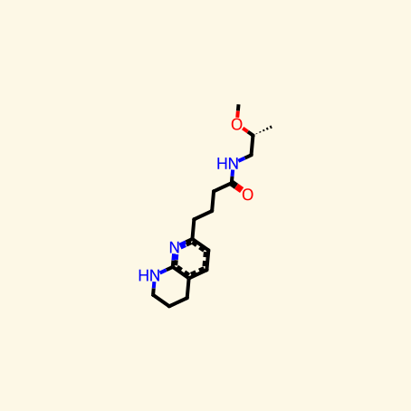 CO[C@H](C)CNC(=O)CCCc1ccc2c(n1)NCCC2